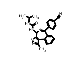 Cc1noc2c1-c1ccccc1C(c1ccc(C#N)cc1)=NC2NC(=O)NC(C)C